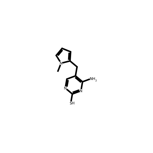 Cn1cccc1Cc1cnc(S)nc1N